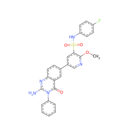 COc1ncc(-c2ccc3nc(N)n(-c4ccccc4)c(=O)c3c2)cc1S(=O)(=O)Nc1ccc(F)cc1